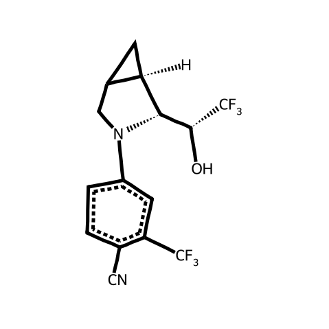 N#Cc1ccc(N2CC3C[C@H]3[C@@H]2[C@@H](O)C(F)(F)F)cc1C(F)(F)F